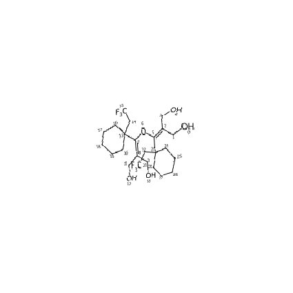 OCC(CO)=C(OC(=C(CO)CO)C1(CC(F)(F)F)CCCCC1)C1(CC(F)(F)F)CCCCC1